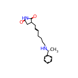 C[C@@H](NCCCC/C=C/CC1CC(=O)NC1=O)c1ccccc1